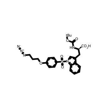 CC(C)(C)OC(=O)N[C@H](Cc1cn(S(=O)(=O)c2ccc(OCCCN=[N+]=[N-])cc2)c2ccccc12)C(=O)O